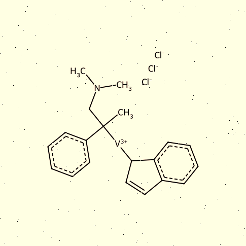 CN(C)C[C](C)([V+3][CH]1C=Cc2ccccc21)c1ccccc1.[Cl-].[Cl-].[Cl-]